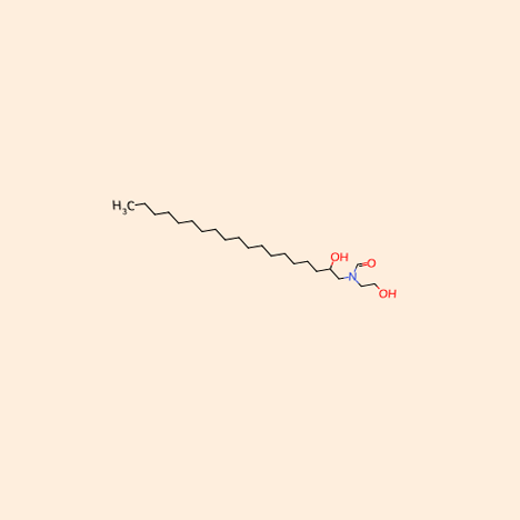 CCCCCCCCCCCCCCCCCC(O)CN(C=O)CCO